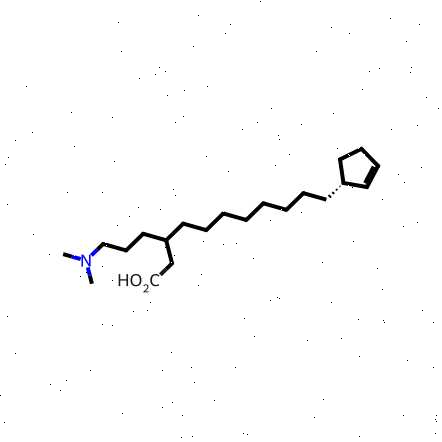 CN(C)CCCC(CCCCCCCC[C@H]1C=CCC1)CC(=O)O